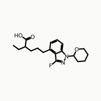 CCC(CCCc1cccc2c1c(F)nn2C1CCCCO1)C(=O)O